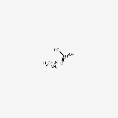 N.N.O.O=[PH](O)O